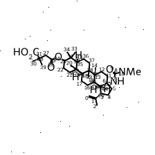 C=C(C)[C@@H]1CC[C@]2(NC(=O)NC)CC[C@]3(C)[C@H](CC[C@@H]4C5(C)CCC(OC(=O)CC(C)(C)C(=O)O)C(C)(C)[C@@H]5CCC43C)[C@@H]12